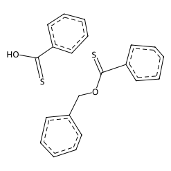 OC(=S)c1ccccc1.S=C(OCc1ccccc1)c1ccccc1